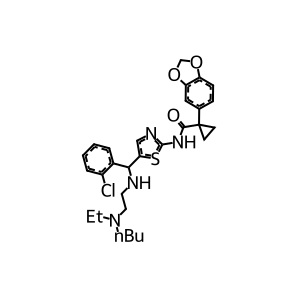 CCCCN(CC)CCNC(c1cnc(NC(=O)C2(c3ccc4c(c3)OCO4)CC2)s1)c1ccccc1Cl